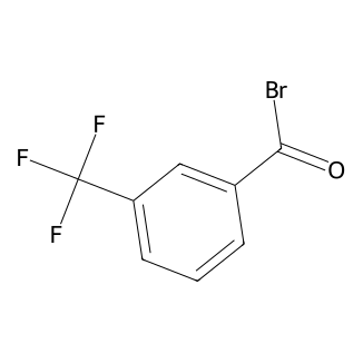 O=C(Br)c1cccc(C(F)(F)F)c1